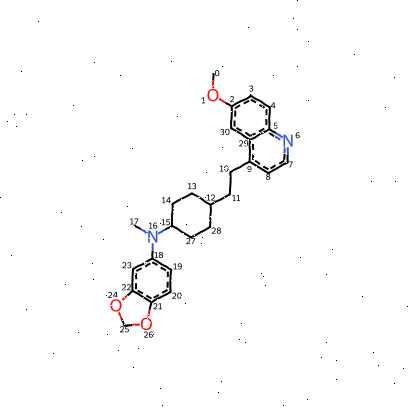 COc1ccc2nccc(CCC3CCC(N(C)c4ccc5c(c4)OCO5)CC3)c2c1